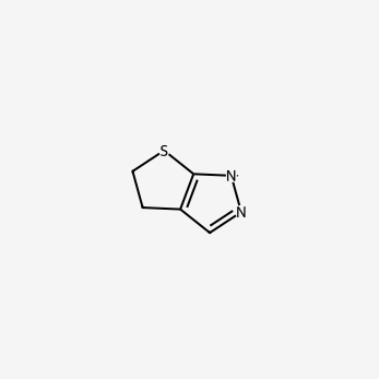 C1=N[N]C2=C1CCS2